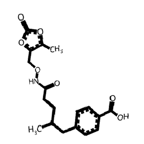 Cc1oc(=O)oc1CONC(=O)CCC(C)Cc1ccc(C(=O)O)cc1